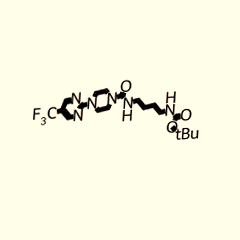 CC(C)(C)OC(=O)NCCCCNC(=O)N1CCN(c2ncc(C(F)(F)F)cn2)CC1